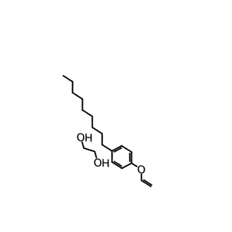 C=COc1ccc(CCCCCCCCC)cc1.OCCO